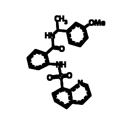 COc1cccc(C(C)NC(=O)c2ccccc2NS(=O)(=O)c2cccc3cccnc23)c1